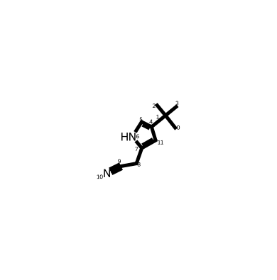 CC(C)(C)c1c[nH]c(CC#N)c1